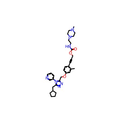 Cc1cc(OCc2nnc(CC3CCCC3)n2-c2cccnc2)ccc1C#CCOC(=O)NCCN1CCN(C)CC1